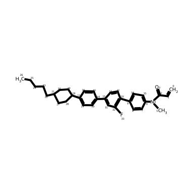 C=CC(=O)N(C)c1ccc(-c2ccc(-c3ccc(C4CCC(CCCCC)CC4)cc3)cc2F)cc1